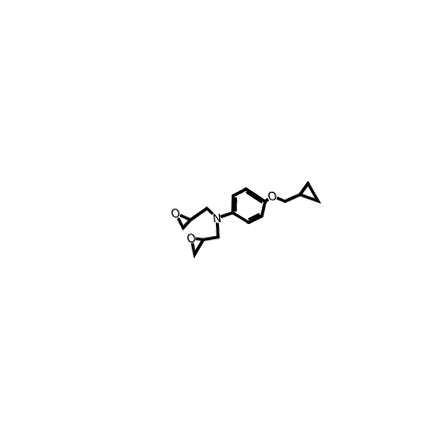 c1cc(N(CC2CO2)CC2CO2)ccc1OCC1CC1